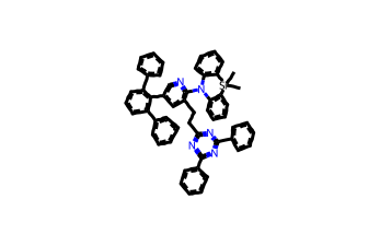 C[Si]1(C)c2ccccc2N(c2ncc(-c3c(-c4ccccc4)cccc3-c3ccccc3)cc2CCc2nc(-c3ccccc3)nc(-c3ccccc3)n2)c2ccccc21